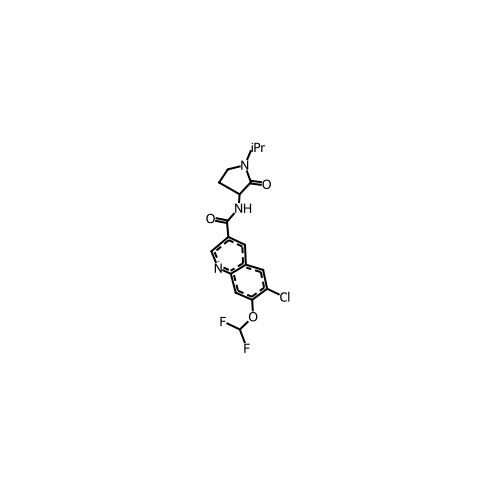 CC(C)N1CCC(NC(=O)c2cnc3cc(OC(F)F)c(Cl)cc3c2)C1=O